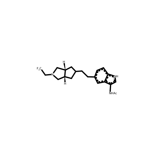 CC(=O)Nc1c[nH]c2ccc(CCC3C[C@@H]4CN(CC(F)(F)F)C[C@@H]4C3)cc12